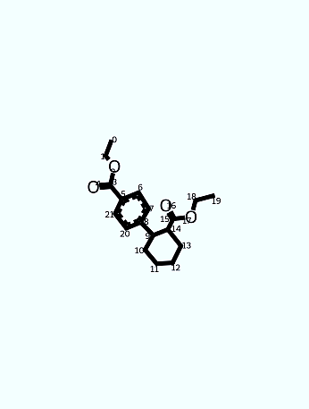 CCOC(=O)c1ccc(C2CCCCC2C(=O)OCC)cc1